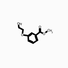 COC(=O)c1cccc(OCCO)c1